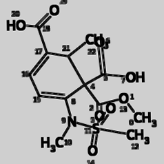 COC(=O)C1(C(=O)O)C(N(C)S(C)(=O)=O)=CC=C(C(=O)O)C1C